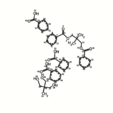 CC(C)(COC(=O)c1ccccc1)COC(=O)c1ccccc1.CC(CO)(CO)CO.O=C(O)c1ccccc1.O=C(O)c1ccccc1.O=C(O)c1ccccc1